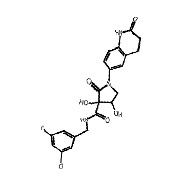 O=C1CCc2cc(N3CC(O)C(O)(C(=O)NCc4cc(F)cc(Cl)c4)C3=O)ccc2N1